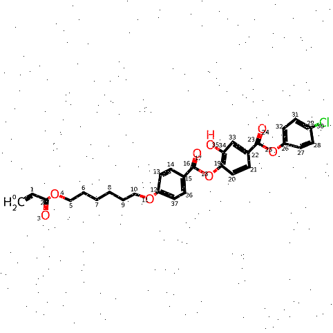 C=CC(=O)OCCCCCCOc1ccc(C(=O)Oc2ccc(C(=O)Oc3ccc(Cl)cc3)cc2O)cc1